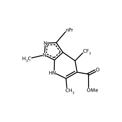 CCCc1nn(C)c2c1C(C(F)(F)F)C(C(=O)OC)=C(C)N2